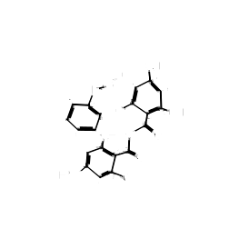 CCOPc1ccccc1.Cc1cc(C)c(C(=O)OC(=O)c2c(C)cc(C)cc2C)c(C)c1